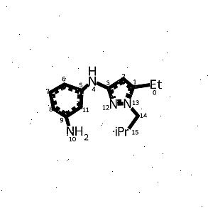 CCc1cc(Nc2cccc(N)c2)nn1C[C](C)C